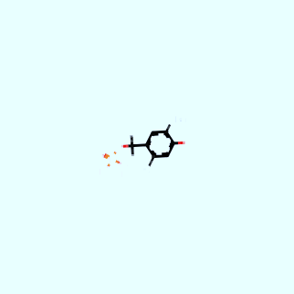 CCC(CC)(OP(=O)(O)O)c1cc(C(C)(C)C)c(O)cc1C(C)(C)C